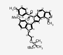 COc1ccc2c(c1)c(-c1cc3c4c(cnc3n1S(=O)(=O)c1ccc(C)cc1)cnn4C)cn2CCO[Si](C)(C)C(C)(C)C